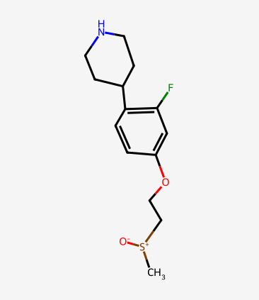 C[S+]([O-])CCOc1ccc(C2CCNCC2)c(F)c1